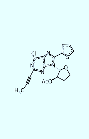 CC#Cc1nc(Cl)c2nc(-c3cccs3)n([C@@H]3OCC[C@H]3OC(C)=O)c2n1